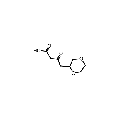 O=C(O)CC(=O)CC1COCCO1